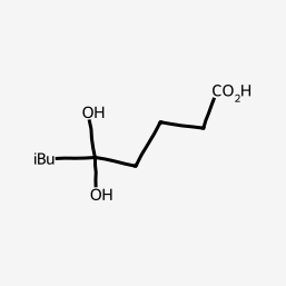 CCC(C)C(O)(O)CCCC(=O)O